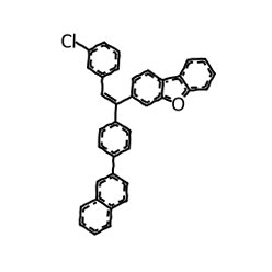 Clc1cccc(/C=C(/c2ccc(-c3ccc4ccccc4c3)cc2)c2ccc3c(c2)oc2ccccc23)c1